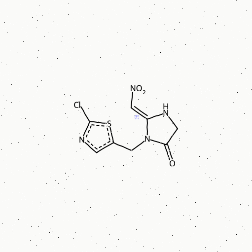 O=C1CN/C(=C\[N+](=O)[O-])N1Cc1cnc(Cl)s1